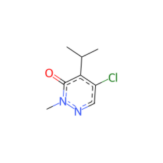 CC(C)c1c(Cl)cnn(C)c1=O